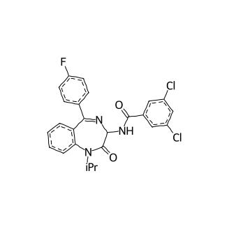 CC(C)N1C(=O)C(NC(=O)c2cc(Cl)cc(Cl)c2)N=C(c2ccc(F)cc2)c2ccccc21